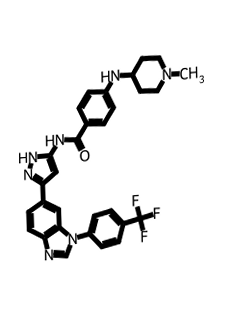 CN1CCC(Nc2ccc(C(=O)Nc3cc(-c4ccc5ncn(-c6ccc(C(F)(F)F)cc6)c5c4)n[nH]3)cc2)CC1